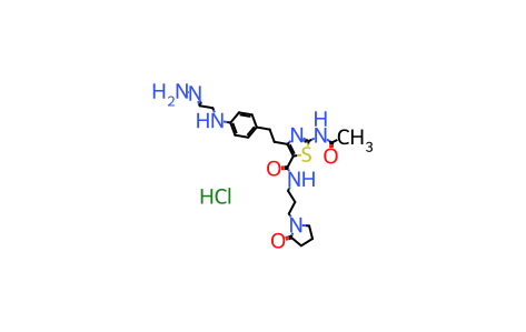 CC(=O)Nc1nc(CCc2ccc(NCC=NN)cc2)c(C(=O)NCCCN2CCCC2=O)s1.Cl